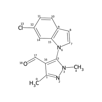 Cc1nn(C)c(-n2ccc3ccc(Cl)cc32)c1C=O